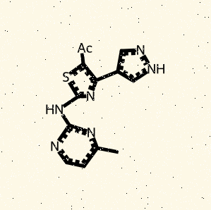 CC(=O)c1sc(Nc2nccc(C)n2)nc1-c1cn[nH]c1